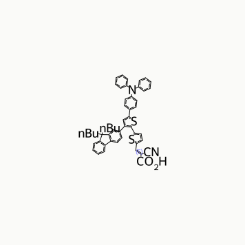 CCCCC1(CCCC)c2ccccc2-c2ccc(-c3cc(-c4ccc(N(c5ccccc5)c5ccccc5)cc4)sc3-c3ccc(/C=C(\C#N)C(=O)O)s3)cc21